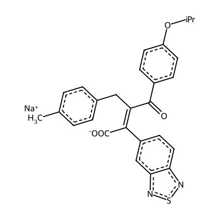 Cc1ccc(C/C(C(=O)c2ccc(OC(C)C)cc2)=C(\C(=O)[O-])c2ccc3nsnc3c2)cc1.[Na+]